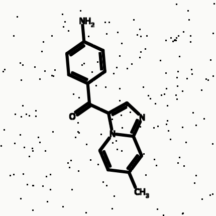 Cc1ccn2c(C(=O)c3ccc(N)cc3)cnc2c1